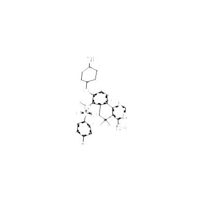 CN(c1c(OC2CCC(N)CC2)ccc2c1CC(C)(C)c1c(N)ncnc1-2)S(=O)(=O)c1ccc(F)cc1